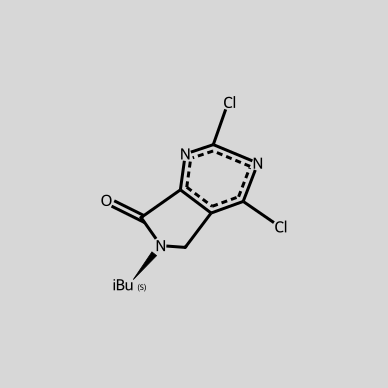 CC[C@H](C)N1Cc2c(Cl)nc(Cl)nc2C1=O